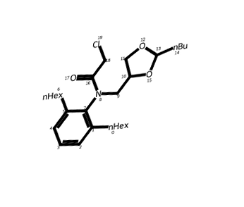 CCCCCCc1cccc(CCCCCC)c1N(CC1COC(CCCC)O1)C(=O)CCl